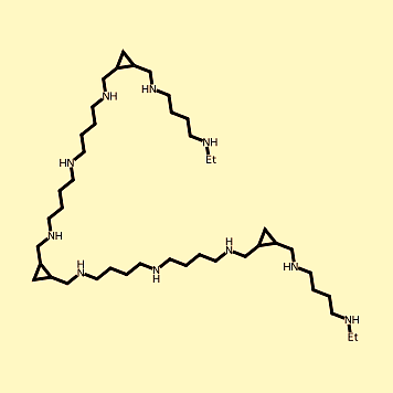 CCNCCCCNCC1CC1CNCCCCNCCCCNCC1CC1CNCCCCNCCCCNCC1CC1CNCCCCNCC